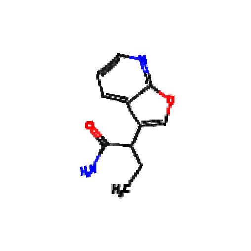 CCC(C(N)=O)c1coc2ncccc12